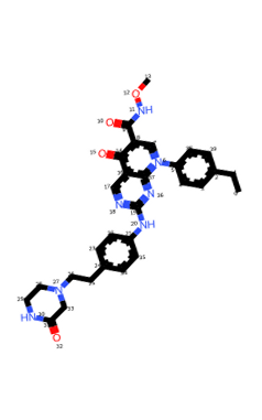 CCc1ccc(-n2cc(C(=O)NOC)c(=O)c3cnc(Nc4ccc(CCN5CCNC(=O)C5)cc4)nc32)cc1